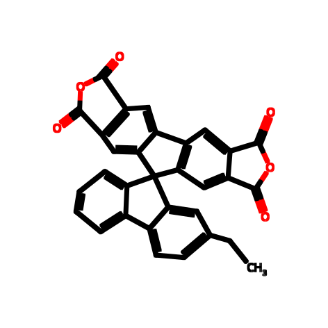 CCc1ccc2c(c1)C1(c3ccccc3-2)c2cc3c(cc2-c2cc4c(cc21)C(=O)OC4=O)C(=O)OC3=O